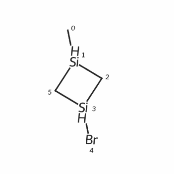 C[SiH]1C[SiH](Br)C1